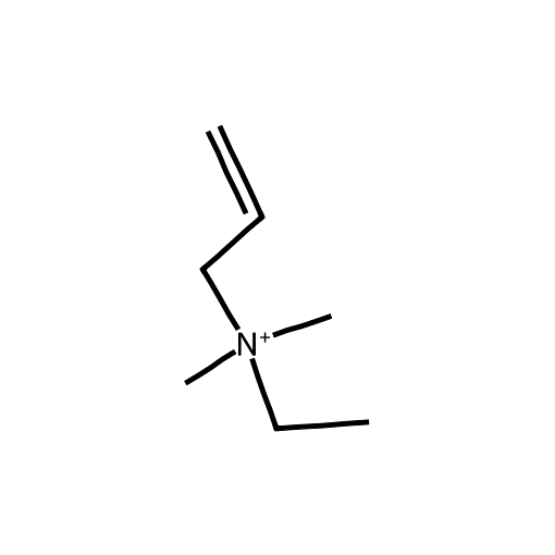 C=CC[N+](C)(C)CC